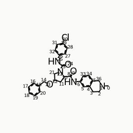 CN1CCc2cc(NC(=O)C3CC(OCc4ccccc4)CN3C(=O)Nc3ccc(Cl)cc3)ccc2C1